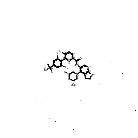 C[C@@H]1C[C@H](N)CN(c2c(NC(=O)c3ccc(F)c(-c4c(F)cc(C(C)(C)O)cc4F)n3)cnc3c2CCO3)C1